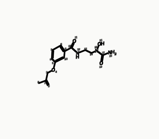 C=C(C)COc1cccc(C(=O)NCCN(O)C(N)=O)c1